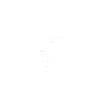 CNc1nc(OCc2cn(-c3ccc(F)c(C(F)F)c3)nn2)ncc1F